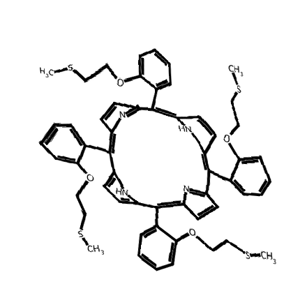 CSCCOc1ccccc1-c1c2nc(c(-c3ccccc3OCCSC)c3ccc([nH]3)c(-c3ccccc3OCCSC)c3nc(c(-c4ccccc4OCCSC)c4ccc1[nH]4)C=C3)C=C2